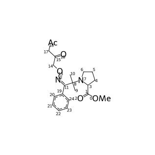 COC(=O)C1CCCN1C(C)(C)C(=NOCC(=O)CC(C)=O)c1ccccc1